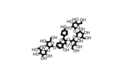 O=c1c(OC2OC(CO)C(O)C(O)C2OC2OC(CO)C(O)C(O)C2OC2OC(CO)C(O)C(O)C2O)c(-c2ccc(O)cc2)oc2cc(OC3OC(CO)C(O)C(O)C3OC3OC(CO)C(O)C(O)C3O)cc(O)c12